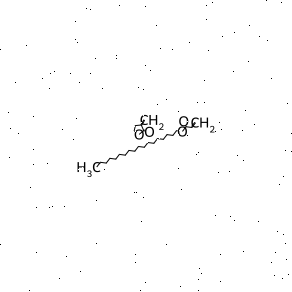 C=C1CCOC1=O.C=CC(=O)OCCCCCCCCCCCCCCCCCC